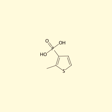 Cc1sccc1P(=O)(O)O